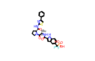 CC(C)(C)[C@H](NC(=O)c1cc2cc(C(F)(F)P(=O)(O)O)ccc2[nH]1)C(=O)N1CCC[C@H]1C(=O)Nc1nc(-c2ccccc2)cs1